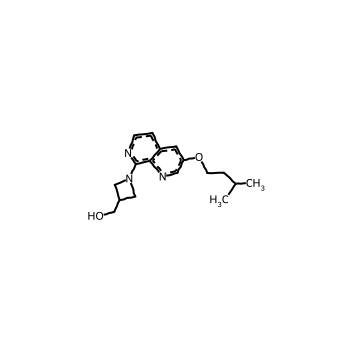 CC(C)CCOc1cnc2c(N3CC(CO)C3)nccc2c1